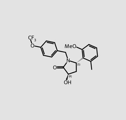 COc1cccc(C)c1[C@@H]1C[C@@H](O)C(=O)N1Cc1ccc(OC(F)(F)F)cc1